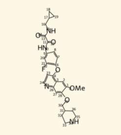 COc1cc2c(Oc3ccc(NC(=O)C(=O)NCC4CC4)cc3F)ccnc2cc1OCC1CCNCC1